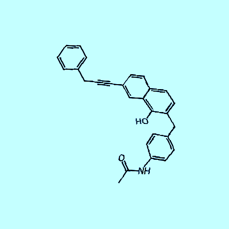 CC(=O)Nc1ccc(Cc2ccc3ccc(C#CCc4ccccc4)cc3c2O)cc1